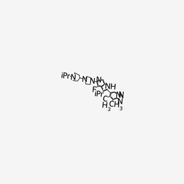 Cc1c(-c2[nH]c3cnc(N4CCN(C5CCN(C(C)C)CC5)CC4)c(F)c3c2C(C)C)cn2ncnc2c1C